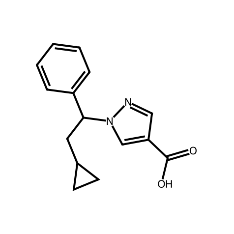 O=C(O)c1cnn(C(CC2CC2)c2ccccc2)c1